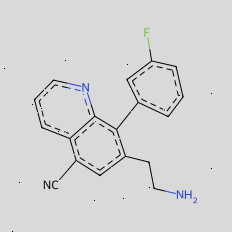 N#Cc1cc(CCN)c(-c2cccc(F)c2)c2ncccc12